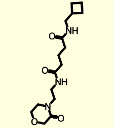 O=C(CCCC(=O)NCC1CCC1)NCCN1CCOCC1=O